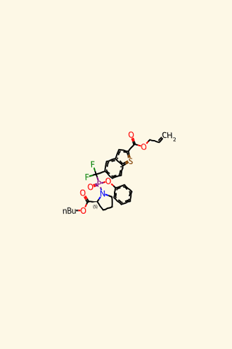 C=CCOC(=O)c1cc2cc(C(F)(F)P(=O)(Oc3ccccc3)N3CCC[C@H]3C(=O)OCCCC)ccc2s1